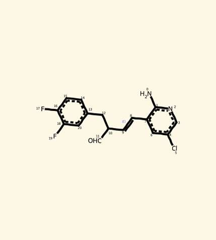 Nc1ncc(Cl)cc1/C=C/C(C=O)Cc1ccc(F)c(F)c1